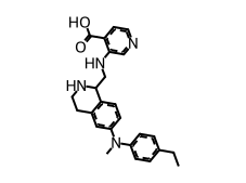 CCc1ccc(N(C)c2ccc3c(c2)CCNC3CNc2cnccc2C(=O)O)cc1